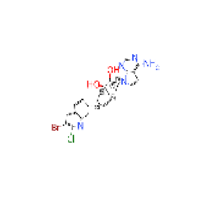 Nc1ncnc2c1ccn2[C@@H]1C[C@@]2(C=C[C@H](c3ccc4cc(Br)c(Cl)nc4c3)C2)[C@@H](O)[C@H]1O